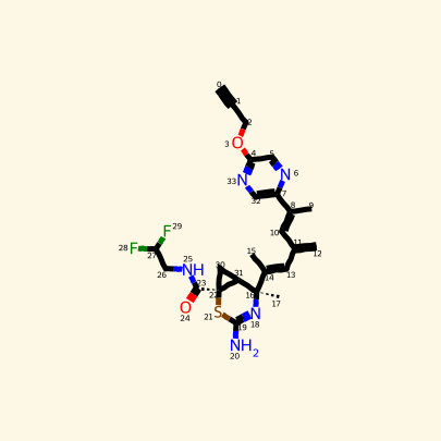 C#CCOc1cnc(/C(C)=C/C(=C)/C=C(\C)[C@@]2(C)N=C(N)S[C@@]3(C(=O)NCC(F)F)CC32)cn1